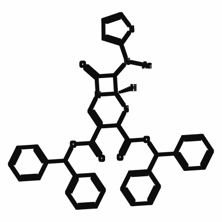 CC(=O)N(c1cccs1)C1C(=O)N2C=C(C(=O)OC(c3ccccc3)c3ccccc3)C(C(=O)OC(c3ccccc3)c3ccccc3)S[C@H]12